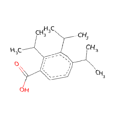 CC(C)c1ccc(C(=O)O)c(C(C)C)c1C(C)C